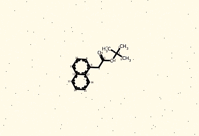 CC(C)(C)OC(=O)Cc1cccc2ccccc12